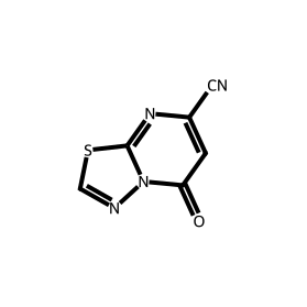 N#Cc1cc(=O)n2ncsc2n1